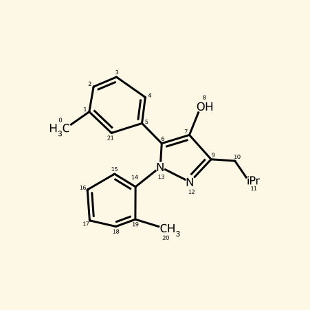 Cc1cccc(-c2c(O)c(CC(C)C)nn2-c2ccccc2C)c1